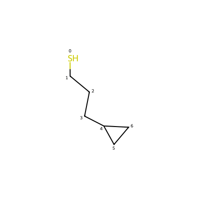 SCCCC1CC1